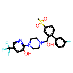 CS(=O)(=O)c1ccc(-c2cccc(F)c2)c([C@@H](O)N2CCN(c3ncc(C(F)(F)F)cc3O)CC2)c1